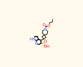 CCCOC(=O)N1CCC2(CC1)CC1(C2)OB(O)c2cnc3[nH]ccc3c21